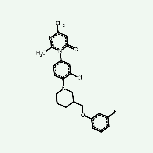 Cc1cc(=O)n(-c2ccc(N3CCCC(COc4cccc(F)c4)C3)c(Cl)c2)c(C)n1